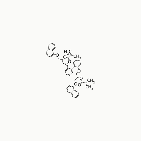 C=C(C)C(=O)OC(COc1ccccc1-c1ccccc1OCC(COc1cccc2ccccc12)OC(=O)C(=C)C)COc1cccc2ccccc12